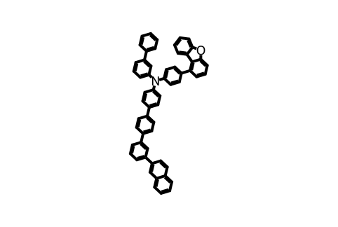 c1ccc(-c2cccc(N(c3ccc(-c4ccc(-c5cccc(-c6ccc7ccccc7c6)c5)cc4)cc3)c3ccc(-c4cccc5oc6ccccc6c45)cc3)c2)cc1